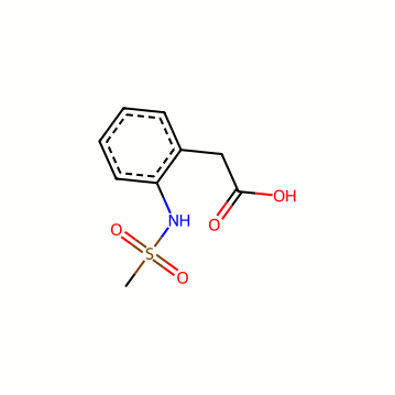 CS(=O)(=O)Nc1ccccc1CC(=O)O